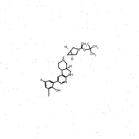 CC(C)(C)OC(=O)N1C[C@@H]2[C@@H](CN3CCN4c5cc(-c6cc(F)cc(F)c6O)nnc5NC[C@H]4C3)[C@@H]2C1